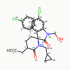 O=C(O)CC1C[C@H](c2cccc(Cl)c2)[C@]2(C(=O)N(CO)c3cc(Cl)ccc32)N(CC2CC2)C1=O